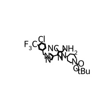 CC(C)(C)OC(=O)N1CCC[C@H](n2nc(-c3cnn(Cc4ccc(Cl)c(C(F)(F)F)c4)c3)c(C#N)c2N)CC1